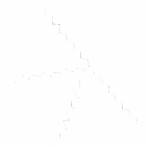 SCCCCCCCCCCCCSC(CCCCCCCCCCCCS)=C(CCCCCCCCCCCCS)SCCCCCCCCCCCCS